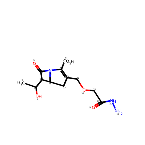 CC(O)C1C(=O)N2C(C(=O)O)=C(COCC(=O)NN)CC12